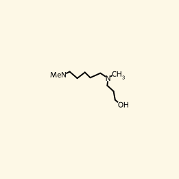 CNCCCCCN(C)CCCO